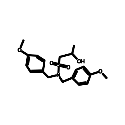 COc1ccc(CN(Cc2ccc(OC)cc2)S(=O)(=O)CC(C)O)cc1